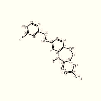 CN1C(=O)[C@@H](OC(N)=O)COc2ccc(OCc3ccnc(F)c3)cc21